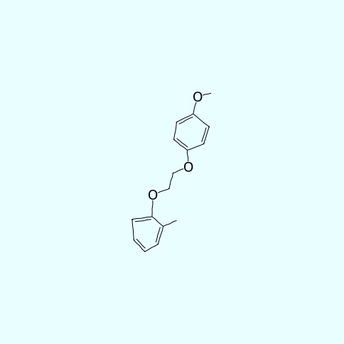 COc1ccc(OCCOc2ccccc2C)cc1